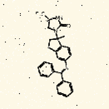 CC1(N2C[C@@H](C(F)(F)F)NC2=O)CCc2cc(N=C(c3ccccc3)c3ccccc3)ccc21